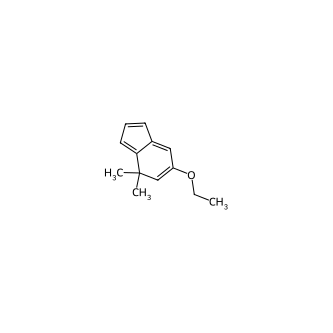 CCOC1=CC(C)(C)C2=CC=CC2=C1